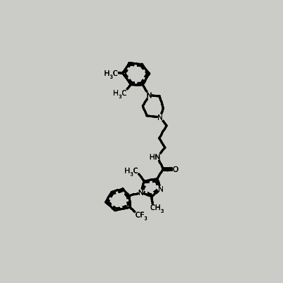 Cc1cccc(N2CCN(CCCNC(=O)c3nc(C)n(-c4ccccc4C(F)(F)F)c3C)CC2)c1C